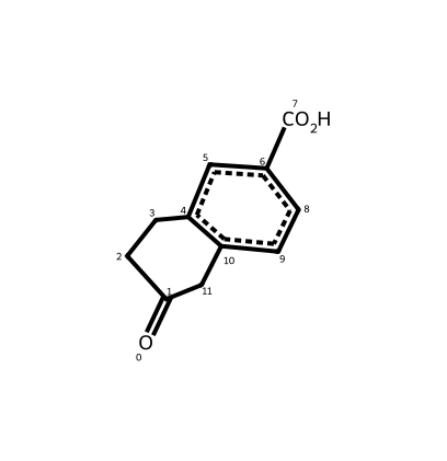 O=C1CCc2cc(C(=O)O)ccc2C1